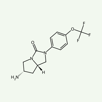 N[C@H]1C[C@H]2CN(c3ccc(OC(F)(F)F)cc3)C(=O)N2C1